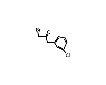 O=C(CBr)Cc1cccc(Cl)c1